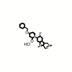 CN1CCc2c(c3cc(F)c(-n4ccc(OCc5ccccc5)cc4=O)cc3n2C)C1.Cl